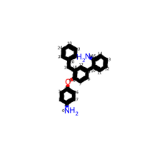 Nc1ccc(Oc2ccc(-c3ccccc3N)cc2Cc2ccccc2)cc1